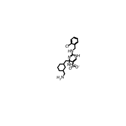 NCC1CCCC(CC2(N)N=C(NCc3ccccc3Cl)NC=C2[N+](=O)[O-])C1